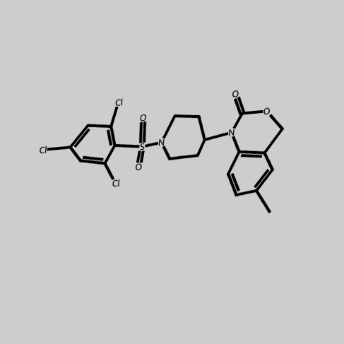 Cc1ccc2c(c1)COC(=O)N2C1CCN(S(=O)(=O)c2c(Cl)cc(Cl)cc2Cl)CC1